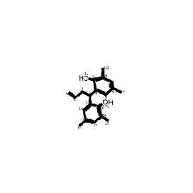 C=CCC(c1cc(C)cc(C)c1O)c1cc(C)cc(C)c1O